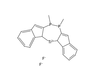 CP1C2=Cc3ccccc3[CH]2[Ti+2][CH]2C(=Cc3ccccc32)P1C.[F-].[F-]